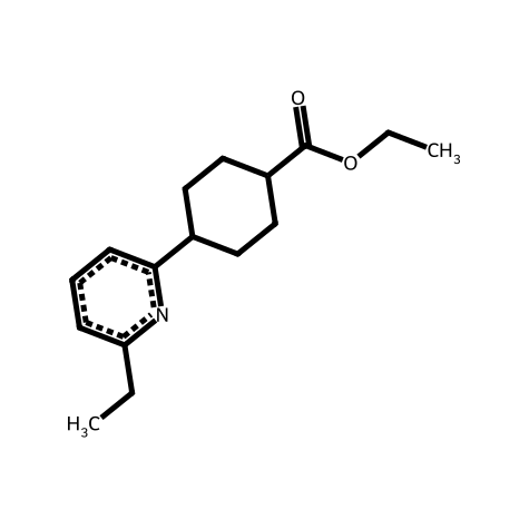 CCOC(=O)C1CCC(c2cccc(CC)n2)CC1